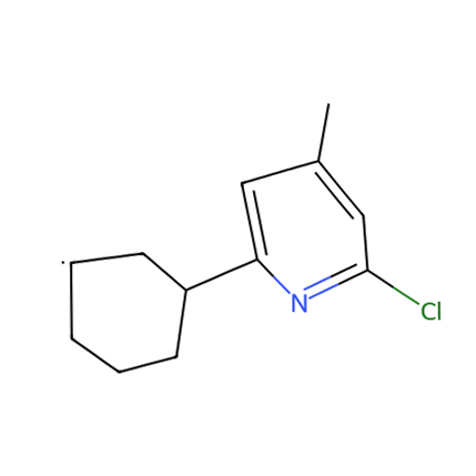 Cc1cc(Cl)nc(C2C[CH]CCC2)c1